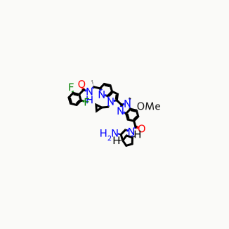 COc1cc(C(=O)N2C[C@H](N)[C@@H]3CC[C@H]2C3)cc2nc(-c3cc4ccc([C@@H](C)NC(=O)c5c(F)cccc5F)nc4n3CC3CC3)n(C)c12